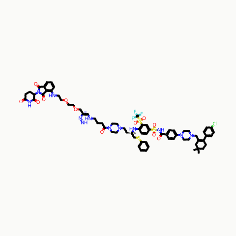 CC1(C)CCC(c2ccc(Cl)cc2)=C(CN2CCN(c3ccc(C(=O)NS(=O)(=O)c4ccc(N[C@H](CCN5CCN(C(=O)CCCN/C=C(/COCCOCCNc6cccc7c6C(=O)N(C6CCC(=O)NC6=O)C7=O)N=N)CC5)CSc5ccccc5)c(S(=O)(=O)C(F)(F)F)c4)cc3)CC2)C1